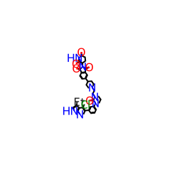 CCc1c[nH]c2ncc(-c3cccc(N4CCCN(CCN5CCC(c6ccc7c(c6)C(=O)N(C6CCC(=O)NC6=O)C7=O)CC5)C4=O)c3)c(Cl)c12